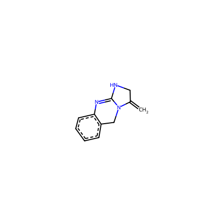 C=C1CNC2=Nc3ccccc3CN12